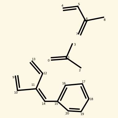 C=C(C)C.C=CC(=C)C.C=CC(C=C)=Cc1ccccc1